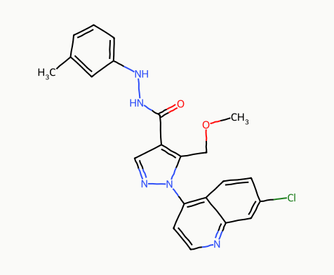 COCc1c(C(=O)NNc2cccc(C)c2)cnn1-c1ccnc2cc(Cl)ccc12